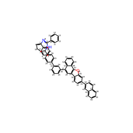 C1=C(c2ccccc2)/N=C(/c2ccccc2)NC(c2ccc(-c3cccc(-c4cc5c6ccc(-c7ccc8ccccc8c7)cc6oc5c5ccccc45)c3)cc2)CC/1